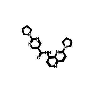 O=C(Nc1ccnc2ccc(N3CCCC3)nc12)c1cnc(N2CCCC2)nc1